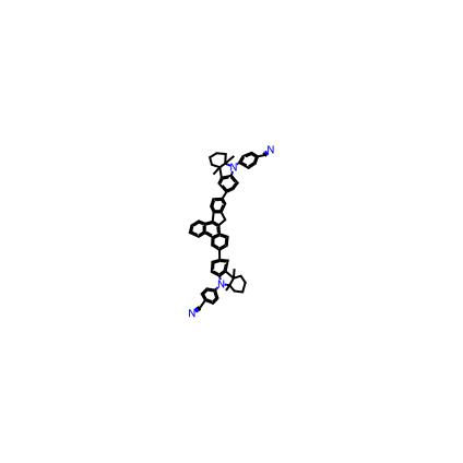 CC12CCCCC1(C)N(c1ccc(C#N)cc1)c1ccc(-c3ccc4c(c3)Cc3c-4c4ccccc4c4cc(-c5ccc6c(c5)C5(C)CCCCC5(C)N6c5ccc(C#N)cc5)ccc34)cc12